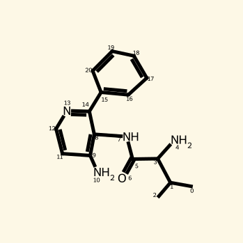 CC(C)C(N)C(=O)Nc1c(N)ccnc1-c1ccccc1